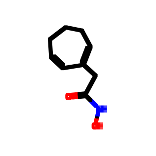 O=C(CC1=CCCCC=C1)NO